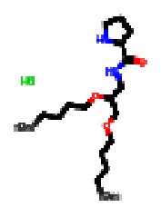 CCCCCCCCCCCCCCOCC(CNC(=O)[C@@H]1CCCN1)OCCCCCCCCCCCCCC.Cl